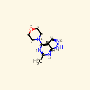 Cc1nc(N2CCOCC2)c2cn[nH]c2n1